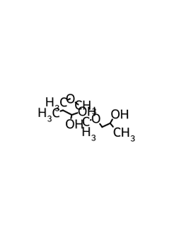 CCC(O)O.COC.COCC(C)O